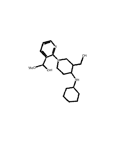 COC(O)c1cccnc1N1CCC(NC2CCCCC2)C(CO)C1